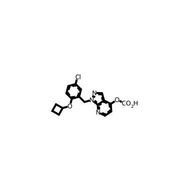 O=C(O)Oc1ccnc2c1cnn2Cc1cc(Cl)ccc1OC1CCC1